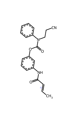 C/C=C/C(=O)Nc1cccc(OC(=O)N(CCC#N)c2ccccc2)c1